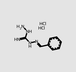 Cl.Cl.N=C(NN)NN=Cc1ccccc1